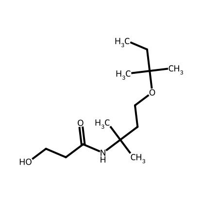 CCC(C)(C)OCCC(C)(C)NC(=O)CCO